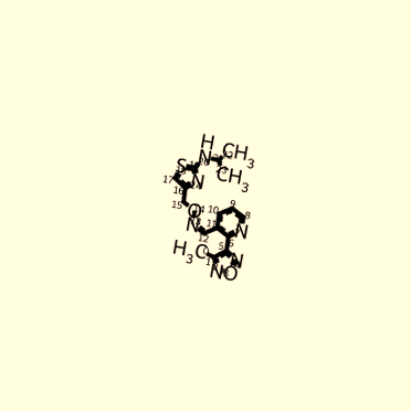 Cc1nonc1-c1ncccc1/C=N\OCc1csc(NC(C)C)n1